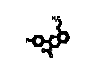 CCOc1cccc2c1OC(c1ccc(F)cc1)C([N+](=O)[O-])C2